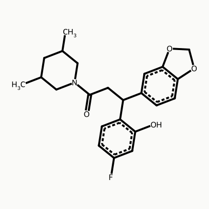 CC1CC(C)CN(C(=O)CC(c2ccc3c(c2)OCO3)c2ccc(F)cc2O)C1